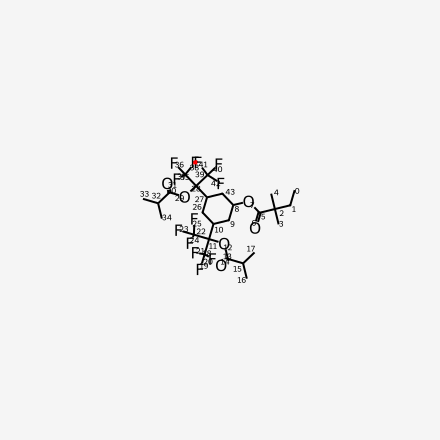 CCC(C)(C)C(=O)OC1CC(C(OC(=O)C(C)C)(C(F)(F)F)C(F)(F)F)CC(C(OC(=O)C(C)C)(C(F)(F)F)C(F)(F)F)C1